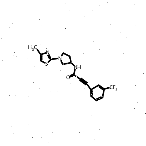 Cc1csc(N2CCC(NC(=O)C#Cc3cccc(C(F)(F)F)c3)C2)n1